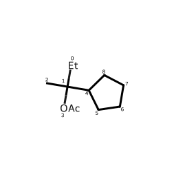 CCC(C)(OC(C)=O)C1CCCC1